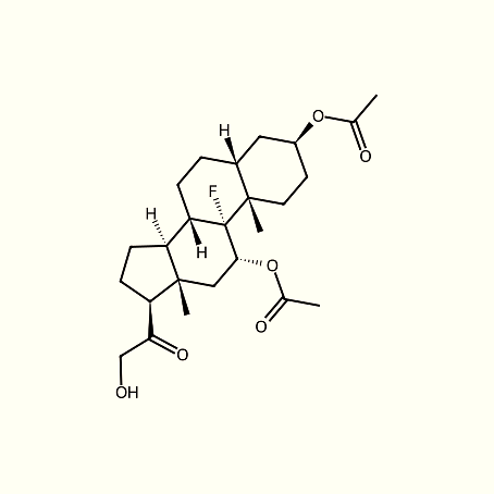 CC(=O)O[C@H]1CC[C@@]2(C)[C@H](CC[C@H]3[C@@H]4CC[C@H](C(=O)CO)[C@@]4(C)C[C@@H](OC(C)=O)[C@@]32F)C1